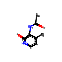 CCc1cc[nH]c(=O)c1NC(=O)C(C)(C)C